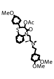 COc1ccc(C2Sc3ccccc3N(C[C@H](C)N(C)CCc3ccc(OC)c(OC)c3)C(=O)C2OC(C)=O)cc1